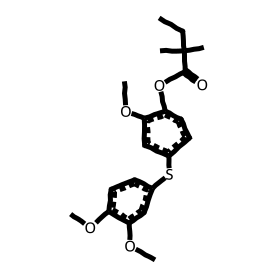 CCC(C)(C)C(=O)Oc1ccc(Sc2ccc(OC)c(OC)c2)cc1OC